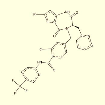 O=C(Nc1ccc(C(F)(F)F)cn1)c1ccc(CN2C(=O)c3sc(Br)cc3NC(=O)[C@H]2Cc2ccccn2)cc1Cl